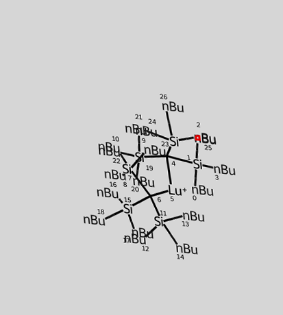 CCCC[Si](CCCC)(CCCC)[C]([Lu+][C]([Si](CCCC)(CCCC)CCCC)([Si](CCCC)(CCCC)CCCC)[Si](CCCC)(CCCC)CCCC)([Si](CCCC)(CCCC)CCCC)[Si](CCCC)(CCCC)CCCC